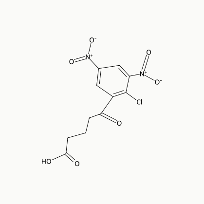 O=C(O)CCCC(=O)c1cc([N+](=O)[O-])cc([N+](=O)[O-])c1Cl